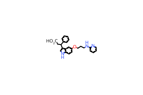 O=C(O)CC(c1ccccc1)c1c[nH]c2ccc(OCCCNc3ccccn3)cc12